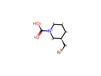 O=C(O)N1CCC[C@@H](CBr)C1